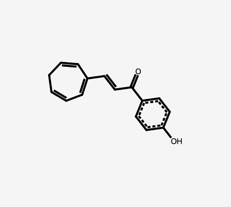 O=C(/C=C/C1=CC=CCC=C1)c1ccc(O)cc1